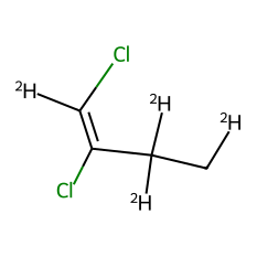 [2H]CC([2H])([2H])C(Cl)=C([2H])Cl